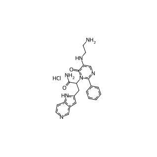 Cl.NCCNc1cnc(-c2ccccc2)n(C(Cc2cc3cnccc3[nH]2)C(N)=O)c1=O